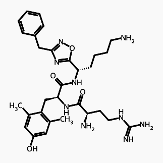 Cc1cc(O)cc(C)c1C[C@H](NC(=O)[C@H](N)CCNC(=N)N)C(=O)N[C@@H](CCCCN)c1nc(Cc2ccccc2)no1